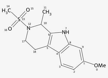 COc1ccc2c3c([nH]c2c1)C(C)N(S(C)(=O)=O)CC3